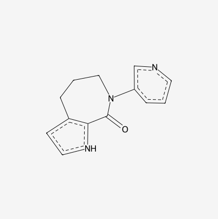 O=C1c2[nH]ccc2CCCN1c1cccnc1